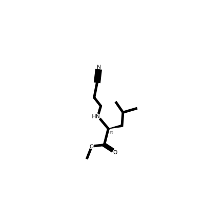 COC(=O)[C@H](CC(C)C)NCCC#N